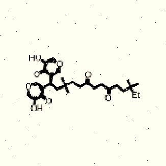 CCC(C)(C)CCC(=O)CCC(=O)CCC(C)(C)CC(c1cocc(O)c1=O)c1cocc(O)c1=O